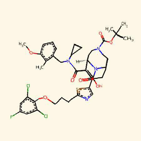 COc1cccc(CN(C(=O)C2=C(c3cnc(CCCOc4c(Cl)cc(F)cc4Cl)s3)CC3CN(C(=O)OC(C)(C)C)C[C@H]2N3C(=O)O)C2CC2)c1C